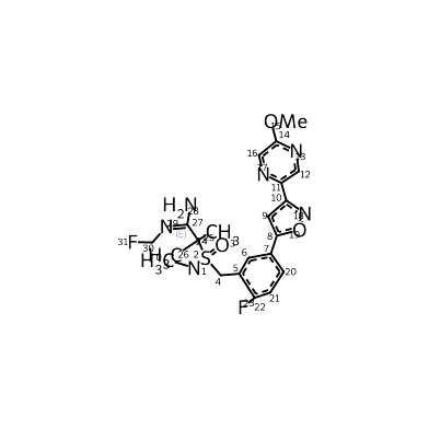 CN=S(=O)(Cc1cc(-c2cc(-c3cnc(OC)cn3)no2)ccc1F)C(C)(C)/C(N)=N\CF